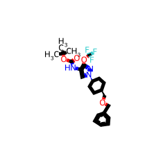 CC(C)(C)OC(=O)Nc1cn([C@H]2CC[C@H](COCc3ccccc3)CC2)nc1OC(F)(F)F